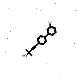 CC(C)(O)C#Cc1ccc(-c2cccc(Br)c2)cc1